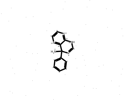 NC1(c2ccccc2)N=CNc2nccnc21